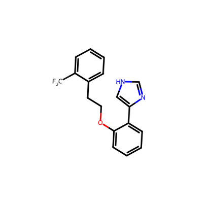 FC(F)(F)c1ccccc1CCOc1ccccc1-c1c[nH]cn1